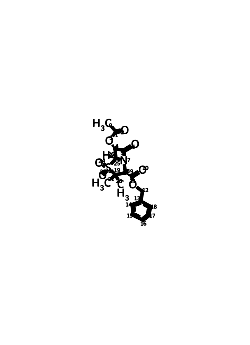 CC(=O)O[C@H]1C(=O)N2[C@@H](C(=O)OCc3ccccc3)C(C)(C)S(=O)(=O)[C@H]12